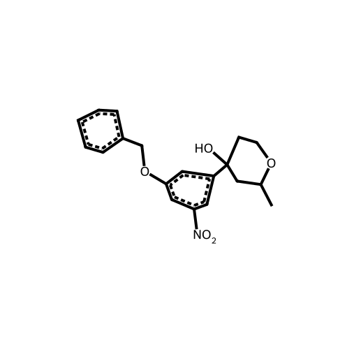 CC1CC(O)(c2cc(OCc3ccccc3)cc([N+](=O)[O-])c2)CCO1